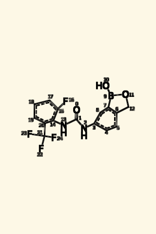 O=C(Nc1ccc2c(c1)B(O)OC2)Nc1c(F)cccc1C(F)(F)F